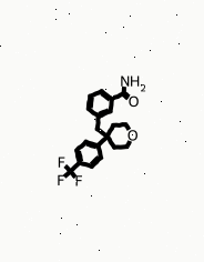 NC(=O)c1cccc(CC2(c3ccc(C(F)(F)F)cc3)CCOCC2)c1